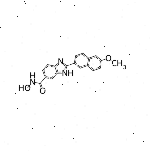 COc1ccc2cc(-c3nc4ccc(C(=O)NO)cc4[nH]3)ccc2c1